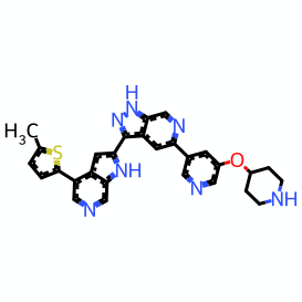 Cc1ccc(-c2cncc3[nH]c(-c4n[nH]c5cnc(-c6cncc(OC7CCNCC7)c6)cc45)cc23)s1